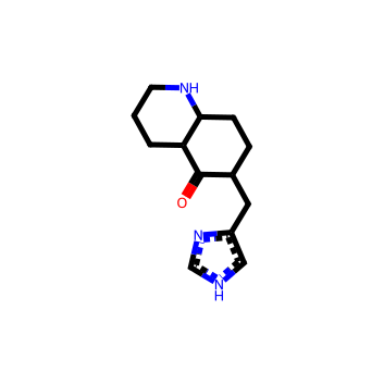 O=C1C(Cc2c[nH]cn2)CCC2NCCCC12